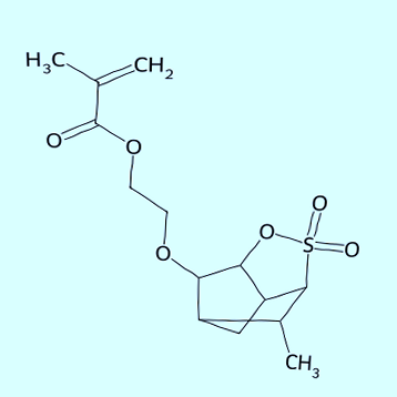 C=C(C)C(=O)OCCOC1C2CC3C1OS(=O)(=O)C3C2C